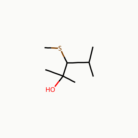 CSC(C(C)C)C(C)(C)O